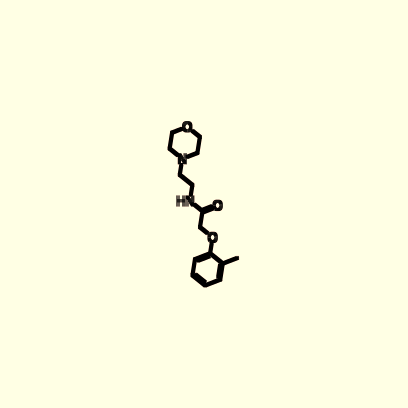 Cc1ccccc1OCC(=O)NCCN1CCOCC1